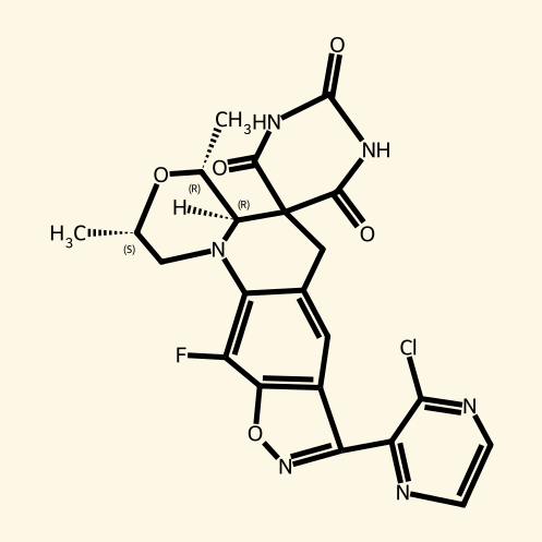 C[C@H]1CN2c3c(cc4c(-c5nccnc5Cl)noc4c3F)CC3(C(=O)NC(=O)NC3=O)[C@@H]2[C@@H](C)O1